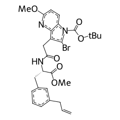 C=CCc1cccc(C[C@H](NC(=O)Cc2c(Br)n(C(=O)OC(C)(C)C)c3ccc(OC)nc23)C(=O)OC)c1